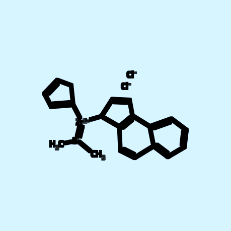 C[Si](C)=[Zr+2]([C]1=CC=CC1)[CH]1C=Cc2c1ccc1ccccc21.[Cl-].[Cl-]